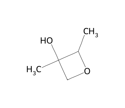 CC1OCC1(C)O